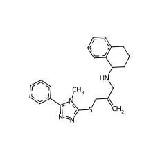 C=C(CNC1CCCc2ccccc21)CSc1nnc(-c2ccccc2)n1C